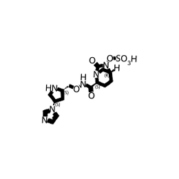 O=C(NOC[C@@H]1C[C@H](n2ccnc2)CN1)[C@@H]1CC[C@@H]2CN1C(=O)N2OS(=O)(=O)O